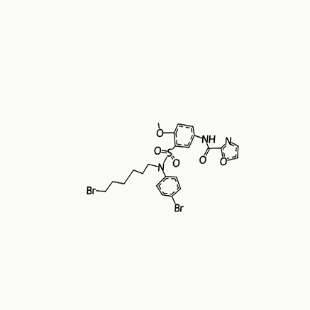 COc1ccc(NC(=O)c2ncco2)cc1S(=O)(=O)N(CCCCCCBr)c1ccc(Br)cc1